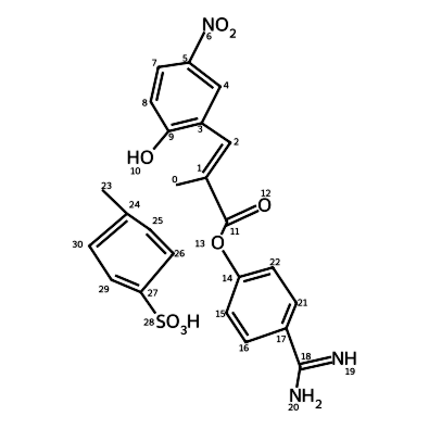 C/C(=C\c1cc([N+](=O)[O-])ccc1O)C(=O)Oc1ccc(C(=N)N)cc1.Cc1ccc(S(=O)(=O)O)cc1